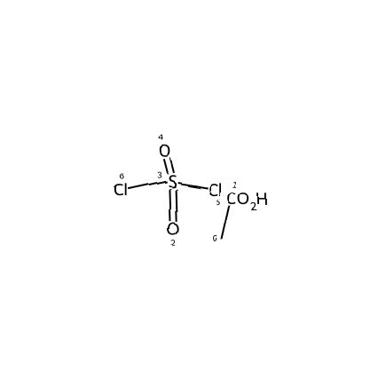 CC(=O)O.O=S(=O)(Cl)Cl